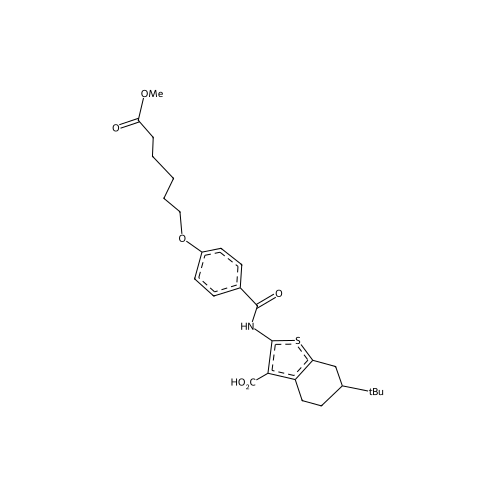 COC(=O)CCCCCOc1ccc(C(=O)Nc2sc3c(c2C(=O)O)CCC(C(C)(C)C)C3)cc1